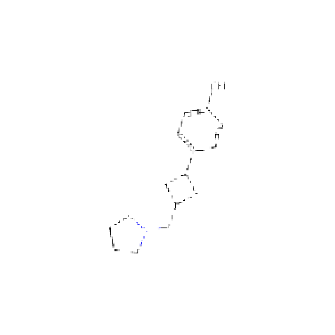 N#Cc1ccc(C2CC(CN3CCCC3)C2)cc1